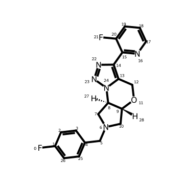 Fc1ccc(CN2C[C@@H]3[C@@H](C2)OCc2c(-c4ncccc4F)nnn23)cc1